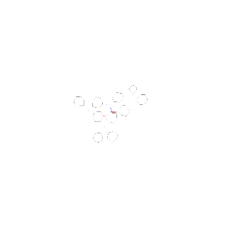 CC(C)(C)c1ccc2c(c1)C1(c3cc(C(C)(C)C)ccc3S2)c2ccccc2-c2ccc(N(c3ccc4c(c3)C(C)(C)c3ccccc3-4)c3ccc4c(c3)C3(c5ccccc5Oc5ccccc53)c3ccccc3-4)cc21